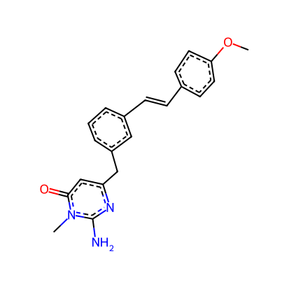 COc1ccc(/C=C/c2cccc(Cc3cc(=O)n(C)c(N)n3)c2)cc1